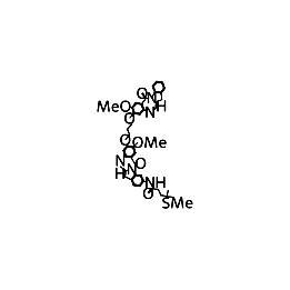 COc1cc2c(cc1OCCCOc1cc3c(cc1OC)C(=O)N1c4cc(NC(=O)CCC(C)(C)SC)ccc4C[C@H]1C=N3)N=C[C@@H]1Cc3ccccc3N1C2=O